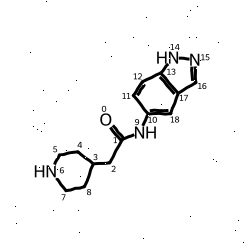 O=C(CC1CCNCC1)Nc1ccc2[nH]ncc2c1